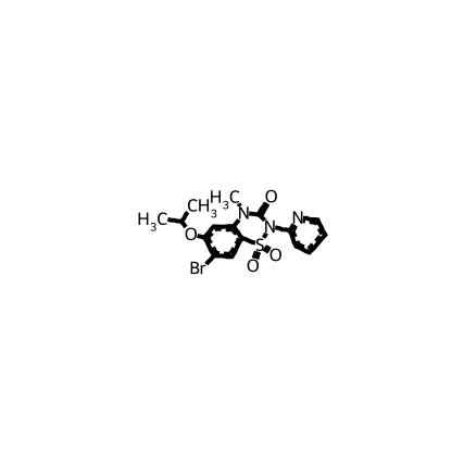 CC(C)Oc1cc2c(cc1Br)S(=O)(=O)N(c1ccccn1)C(=O)N2C